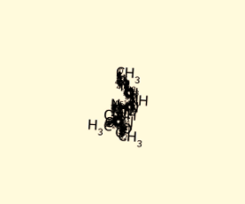 CCN1CCN(c2ccc(Nc3cc(-c4cncnc4Nc4c(Cl)c(OC)cc(C(=O)OC)c4Cl)ncn3)nc2)CC1